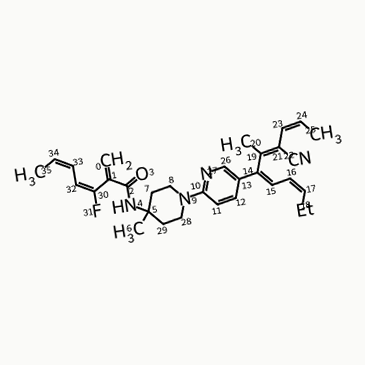 C=C(C(=O)NC1(C)CCN(c2ccc(C(=C/C=C\CC)/C(C)=C(C#N)/C=C\C)cn2)CC1)/C(F)=C\C=C/C